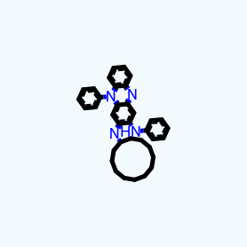 c1ccc(Nc2cc3nc4ccccc4n(-c4ccccc4)c-3c/c2=N/C2CCCCCCCCCCC2)cc1